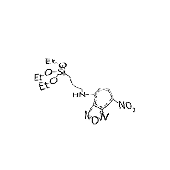 CCO[Si](CCCNc1ccc([N+](=O)[O-])c2nonc12)(OCC)OCC